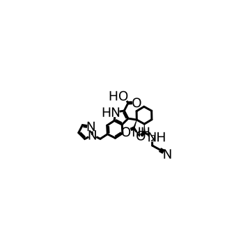 N#CCNC(=O)[C@@H]1CCCC[C@@]1(C(N)=O)c1c(C(=O)O)[nH]c2cc(Cn3cccn3)ccc12